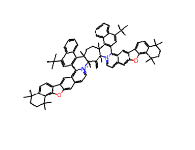 C=C1C2(C)[n+]3ccc4cc5oc6c7c(ccc6c5cc4c3-c3cc(C(C)(C)C)c4ccccc4c3C2(C)CCC2(C)c3c(cc(C(C)(C)C)c4ccccc34)-c3c4cc5c(cc4cc[n+]3C12C)oc1c2c(ccc15)C(C)(C)CCC2(C)C)C(C)(C)CCC7(C)C